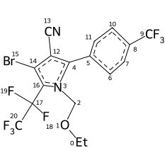 CCOCn1c(-c2ccc(C(F)(F)F)cc2)c(C#N)c(Br)c1C(F)(F)C(F)(F)F